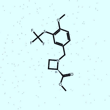 COC(=O)[C@H]1CCN1Cc1ccc(OC)c(SC(F)(F)F)c1